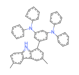 Cc1ccc2[nH]c3c(-c4cc(N(c5ccccc5)c5ccccc5)cc(N(c5ccccc5)c5ccccc5)c4)cc(C)cc3c2c1